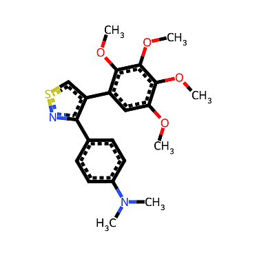 COc1cc(-c2csnc2-c2ccc(N(C)C)cc2)c(OC)c(OC)c1OC